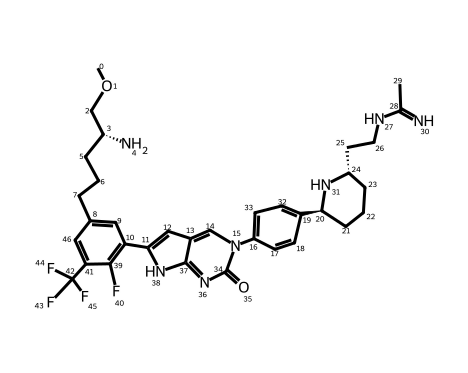 COC[C@H](N)CCCc1cc(-c2cc3cn(-c4ccc([C@@H]5CCC[C@@H](CCNC(C)=N)N5)cc4)c(=O)nc3[nH]2)c(F)c(C(F)(F)F)c1